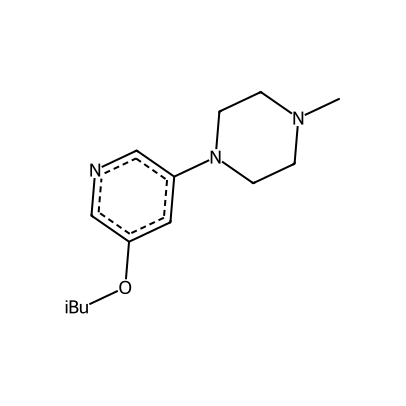 CCC(C)Oc1cncc(N2CCN(C)CC2)c1